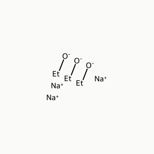 CC[O-].CC[O-].CC[O-].[Na+].[Na+].[Na+]